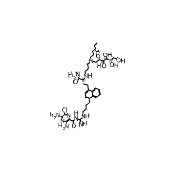 CCCCCCN(CCCN[C@H](CCc1ccc(CCCCNC(=N)NC(=O)c2nc(Cl)c(N)nc2N)c2ccccc12)C(N)=O)C[C@@H](O)[C@H](O)[C@@H](O)[C@@H](O)CO